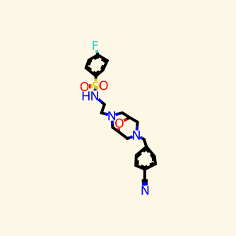 N#Cc1ccc(CN2CC3CN(CCNS(=O)(=O)c4ccc(F)cc4)CC(C2)O3)cc1